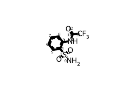 NS(=O)(=O)c1ccccc1NC(=O)C(F)(F)F